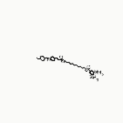 CCC1CCC(COc2ccc(/C=C/C(=O)OCCCCCCCCCCCOC(=O)c3cc(N)cc(N)c3)cc2)CC1